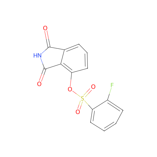 O=C1NC(=O)c2c(OS(=O)(=O)c3ccccc3F)cccc21